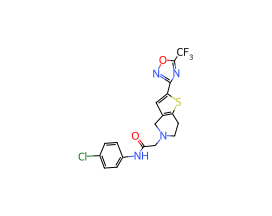 O=C(CN1CCc2sc(-c3noc(C(F)(F)F)n3)cc2C1)Nc1ccc(Cl)cc1